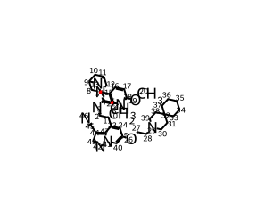 C=C(/C=N\C(=C/C)N1CC2CC(C1)N2Cc1ccc(OC)nc1)c1cc(OCCN2CCC3(CCCCC3)CC2)cn2ncc(C#N)c12